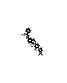 CN(C)[C@@H]1CCN(c2ccc(N3CCc4cc(OCC(O)c5ccccc5)ccc4C3=O)cc2F)C1